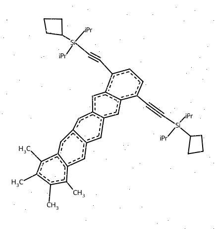 Cc1c(C)c(C)c2cc3cc4cc5c(C#C[Si](C(C)C)(C(C)C)C6CCC6)ccc(C#C[Si](C(C)C)(C(C)C)C6CCC6)c5cc4cc3cc2c1C